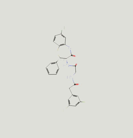 C[C@H](NC(=O)Cc1cc(F)cc(F)c1)C(=O)N[C@@H]1C(=O)Nc2cc(Cl)ccc2S[C@@H]1c1ccccc1